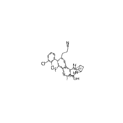 Cc1nc2c(F)c(-c3cccc(Cl)c3Cl)c(CCC#N)cc2c(N[C@H]2C3CC2N(C(=O)O)C3)c1I